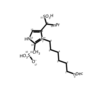 CCCCCCCCCCCCCCCC[n+]1c(C(CCC)S(=O)(=O)O)c[nH]c1C.O=S(=O)([O-])O